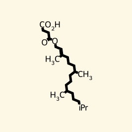 C/C(=C\COC(=O)CCC(=O)O)CCCC(C)CCCC(C)CCCC(C)C